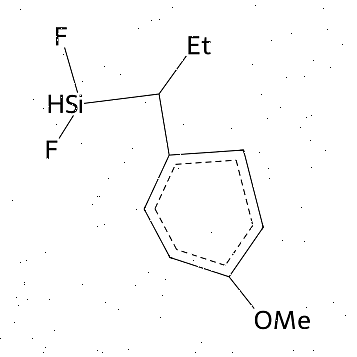 CCC(c1ccc(OC)cc1)[SiH](F)F